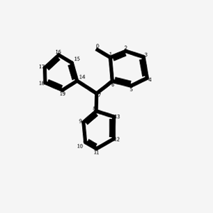 Cc1ccccc1C(c1ccccc1)c1ccccc1